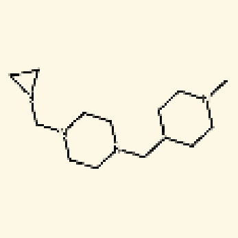 CN1CCC(CN2CCN(CN3CC3)CC2)CC1